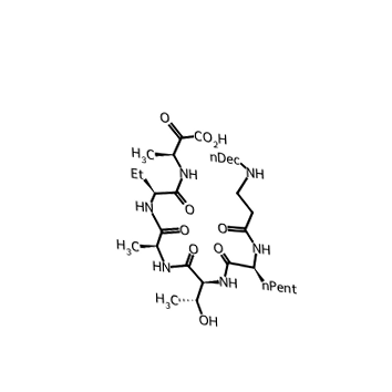 CCCCCCCCCCNCCC(=O)N[C@@H](CCCCC)C(=O)N[C@H](C(=O)N[C@@H](C)C(=O)N[C@@H](CC)C(=O)N[C@@H](C)C(=O)C(=O)O)[C@@H](C)O